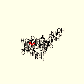 CSSC[C@H](NC(=O)[C@H](CC(C)C)NC(=O)[C@@H](NC(=O)[C@H](CC(=O)O)NC(=O)[C@H](CO)NC(=O)[C@H](CCCNC(=N)N)NC(=O)[C@H](C)NC(C)=O)[C@@H](C)O)C(=O)NCC(=O)N[C@@H](CCC(=O)O)C(N)=O